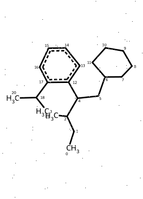 CCC(C)[C](CC1CCCCC1)c1ccccc1C(C)C